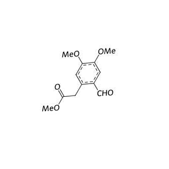 COC(=O)Cc1cc(OC)c(OC)cc1C=O